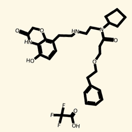 O=C(O)C(F)(F)F.O=C1COc2c(CCNCCN(C(=O)CCOCCc3ccccc3)C3CCCC3)ccc(O)c2N1